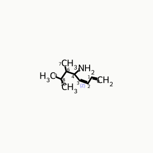 C=C/C=C\C(N)C(C)C(C)C